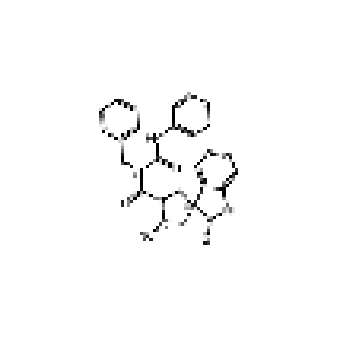 N#C[C@@H]1C[C@@]2(CN1C(=O)[C@@H](Cc1ccccc1)C(=O)Nc1ccccc1)C(=O)Nc1ccccc12